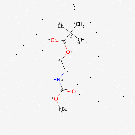 CCCCOC(=O)NCCOC(=O)C(C)(C)CC